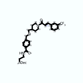 CCCCCCCCCCCCNC(=O)c1ccc(C[N]CC2CCN(C(=O)/C=C/c3cccc(C(F)(F)F)c3)CC2)cc1